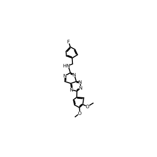 COc1ccc(-c2nnc3nc(NCc4ccc(F)cc4)ncc3n2)cc1OC